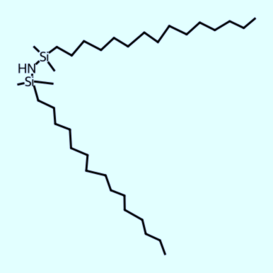 CCCCCCCCCCCCCCC[Si](C)(C)N[Si](C)(C)CCCCCCCCCCCCCCC